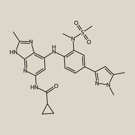 Cc1nc2c(Nc3ccc(-c4cc(C)n(C)n4)cc3N(C)S(C)(=O)=O)cc(NC(=O)C3CC3)nc2[nH]1